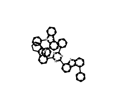 C1=Cc2c(c3cccc(-c4nc(-c5ccccc5)nc(-c5cccc6c5sc5cccc(-c7ccccc7)c56)n4)c3n2-c2cccc3c4ccccc4n(-c4ccccc4-c4ccccc4)c23)CC1